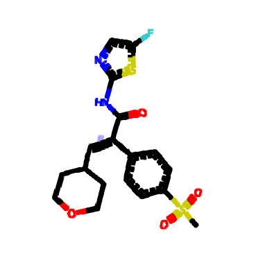 CS(=O)(=O)c1ccc(/C(=C\C2CCOCC2)C(=O)Nc2ncc(F)s2)cc1